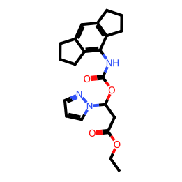 CCOC(=O)CC(OC(=O)Nc1c2c(cc3c1CCC3)CCC2)n1cccn1